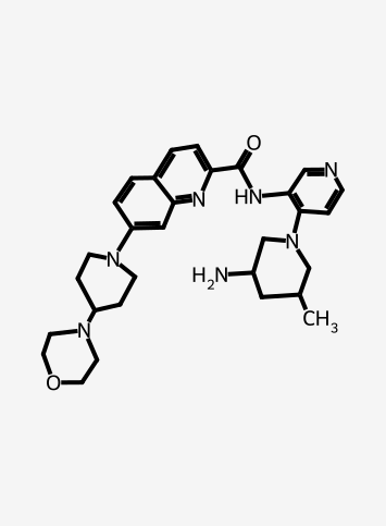 CC1CC(N)CN(c2ccncc2NC(=O)c2ccc3ccc(N4CCC(N5CCOCC5)CC4)cc3n2)C1